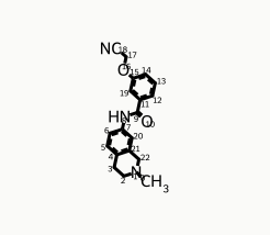 CN1CCc2ccc(NC(=O)c3cccc(OCC#N)c3)cc2C1